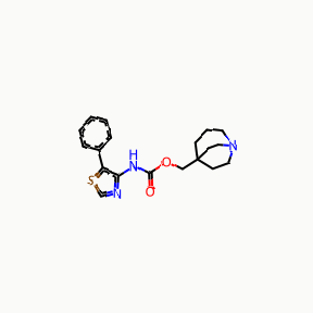 O=C(Nc1ncsc1-c1ccccc1)OCC12CCCN(CC1)CC2